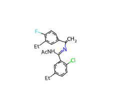 C=C(/N=C(\NC(C)=O)c1cc(CC)ccc1Cl)c1ccc(F)c(CC)c1